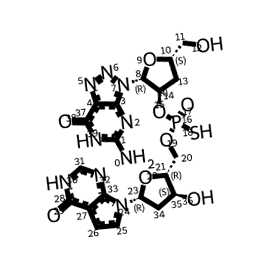 Nc1nc2c(nnn2[C@@H]2O[C@H](CO)C[C@H]2OP(=O)(S)OC[C@H]2O[C@@H](n3ccc4c(=O)[nH]cnc43)C[C@@H]2O)c(=O)[nH]1